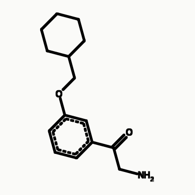 NCC(=O)c1cccc(OCC2CCCCC2)c1